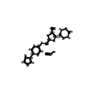 CC=O.O[C@@H]1C[C@H](OCc2ccc(-c3cccs3)cc2)C[C@H]1N1CCOCC1